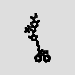 C=C1C[C@H](CCCCC(C)(C)[Si](O)(c2ccccc2)c2ccccc2)O[C@H]1CC[C@H](CC(C)C(=O)N(C)OC)O[Si](C)(C)C(C)(C)C